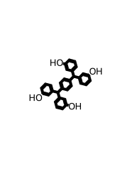 Oc1cccc(C(c2ccc(C(c3cccc(O)c3)c3cccc(O)c3)cc2)c2cccc(O)c2)c1